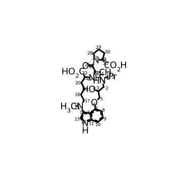 CC(C)NCC(O)COc1cccc2[nH]cc(N(C)CCCCC(N[C@@H](C)C(=O)N3CCC[C@H]3C(=O)O)C(=O)O)c12